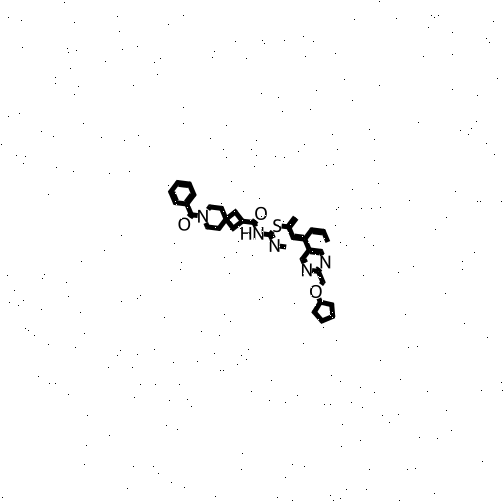 C=C(/C=C(\C=C/C)c1cnc(COC2CCCC2)nc1)S/C(=N\C)NC(=O)C1CC2(CCN(C(=O)c3ccccc3)CC2)C1